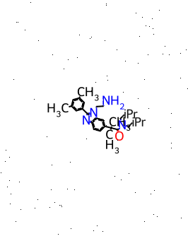 Cc1cc(C)cc(-c2nc3ccc(C(C)(C)C(=O)N(CC(C)C)CC(C)C)cc3n2CCN)c1